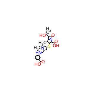 CC(O)C1C(=O)N2C(C(=O)O)=C(SC3CC(CNc4cccc(C(=O)O)c4)N(C)C3)C(C)C12